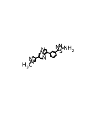 Cn1cc(-c2cnc3c(-c4cccc(-c5nnc(N)s5)c4)cnn3c2)cn1